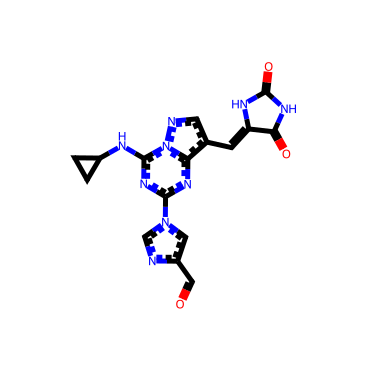 O=Cc1cn(-c2nc(NC3CC3)n3ncc(/C=C4\NC(=O)NC4=O)c3n2)cn1